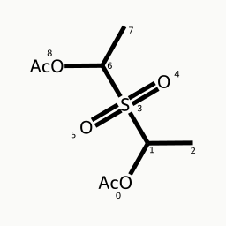 CC(=O)OC(C)S(=O)(=O)C(C)OC(C)=O